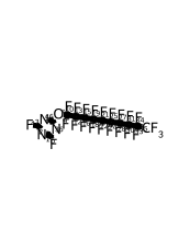 Fc1nc(F)nc(OC(F)(F)C(F)(F)C(F)(F)C(F)(F)C(F)(F)C(F)(F)C(F)(F)C(F)(F)C(F)(F)C(F)(F)F)n1